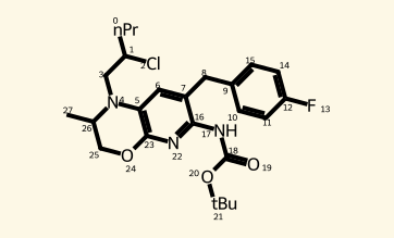 CCCC(Cl)CN1c2cc(Cc3ccc(F)cc3)c(NC(=O)OC(C)(C)C)nc2OCC1C